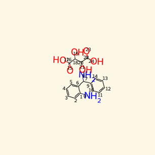 Nc1ccccc1C(N)c1ccccc1.O=C(O)C(O)C(O)C(=O)O